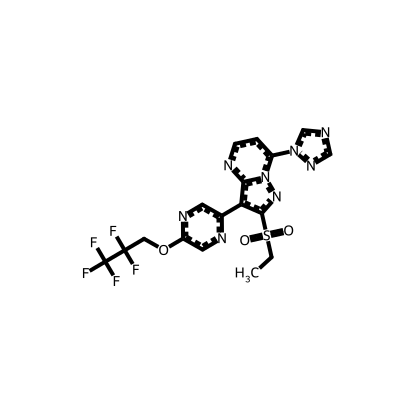 CCS(=O)(=O)c1nn2c(-n3cncn3)ccnc2c1-c1cnc(OCC(F)(F)C(F)(F)F)cn1